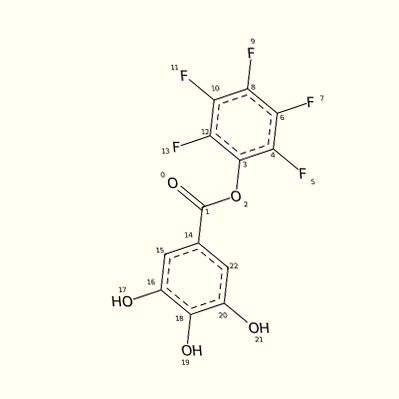 O=C(Oc1c(F)c(F)c(F)c(F)c1F)c1cc(O)c(O)c(O)c1